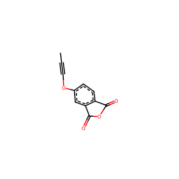 CC#COc1ccc2c(c1)C(=O)OC2=O